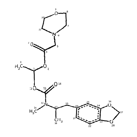 CC(OC(=O)CN1CCOCC1)OC(=O)N(C)C(C)Cc1ccc2c(c1)OCO2